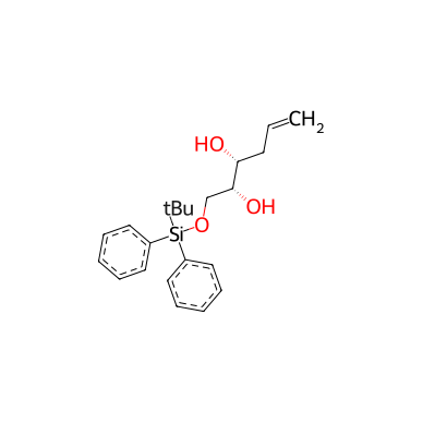 C=CC[C@@H](O)[C@H](O)CO[Si](c1ccccc1)(c1ccccc1)C(C)(C)C